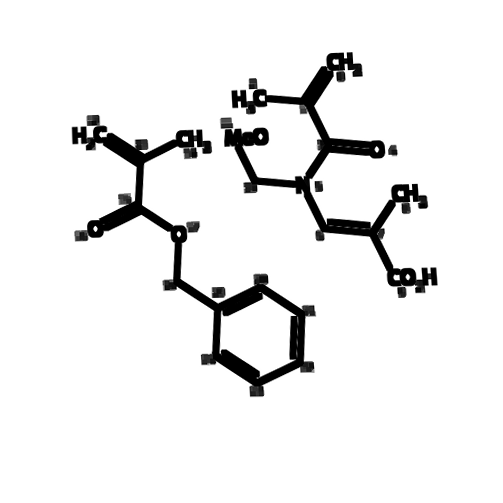 C=C(C)C(=O)N(C=C(C)C(=O)O)COC.C=C(C)C(=O)OCc1ccccc1